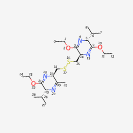 CCOC1=N[C@H](C(C)C)C(OCC)=N[C@H]1CSSC[C@@H]1N=C(OCC)[C@@H](C(C)C)N=C1C